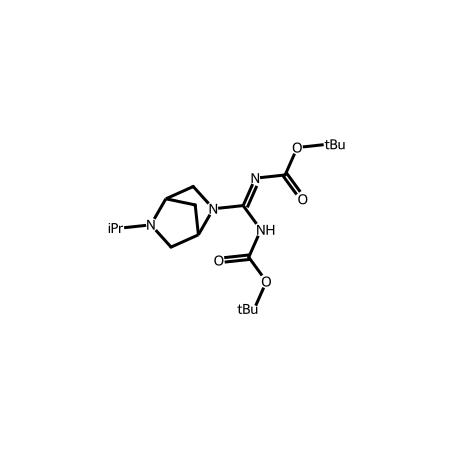 CC(C)N1CC2CC1CN2/C(=N/C(=O)OC(C)(C)C)NC(=O)OC(C)(C)C